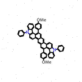 COc1ccc(-c2cc3cc4c(cc(-c5ccc(OC)cc5)c5c4ccc4c5c5ccccc5n4-c4ccccc4)cc3c3ccc4c(c5ccccc5n4-c4ccccc4)c23)cc1